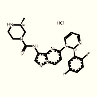 C[C@H]1CN(C(=O)Nc2cnn3ccc(N4C=CC=N[C@H]4c4cc(F)ccc4F)nc23)CCN1.Cl